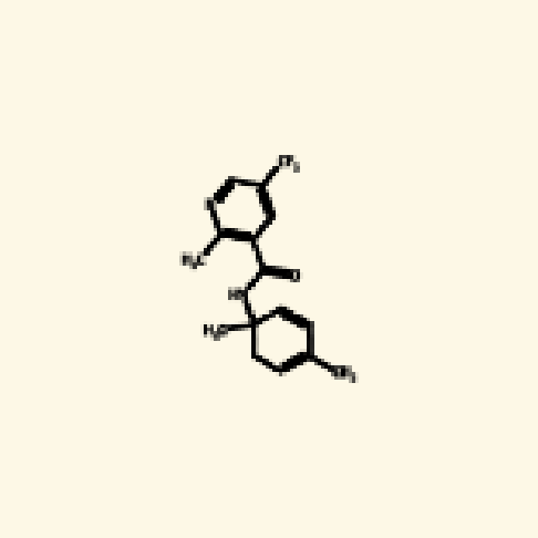 CC1=CCC(C)(NC(=O)c2cc(C(F)(F)F)cnc2C)C=C1